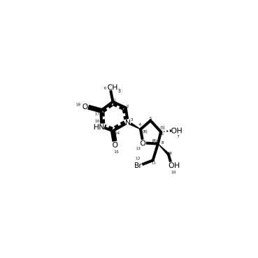 Cc1cn([C@H]2C[C@H](O)[C@](CO)(CBr)O2)c(=O)[nH]c1=O